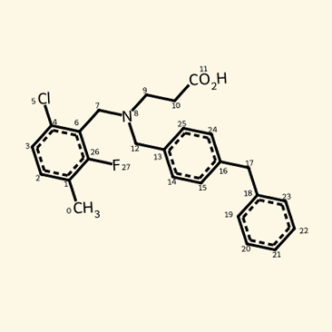 Cc1ccc(Cl)c(CN(CCC(=O)O)Cc2ccc(Cc3ccccc3)cc2)c1F